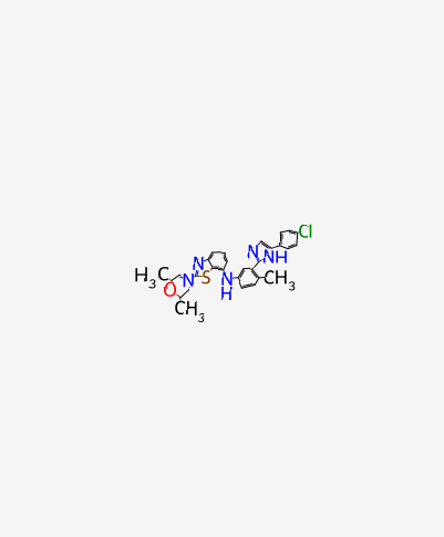 Cc1ccc(Nc2cccc3nc(N4C[C@@H](C)O[C@@H](C)C4)sc23)cc1-c1ncc(-c2ccc(Cl)cc2)[nH]1